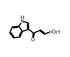 CCCCCCCC/C=C/C(=O)c1c[nH]c2ccccc12